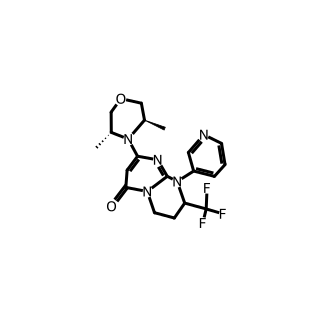 C[C@@H]1COC[C@@H](C)N1c1cc(=O)n2c(n1)N(c1cccnc1)C(C(F)(F)F)CC2